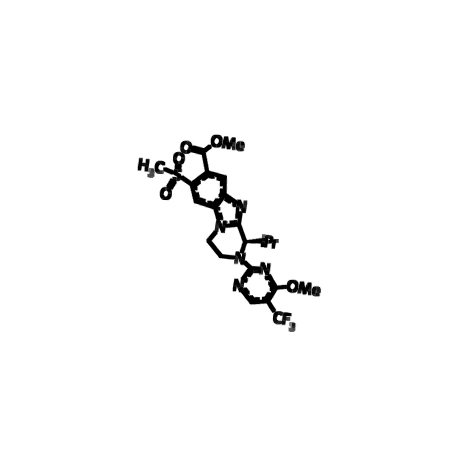 COC(=O)c1cc2nc3n(c2cc1S(C)(=O)=O)CCN(c1ncc(C(F)(F)F)c(OC)n1)[C@@H]3C(C)C